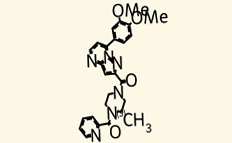 COc1ccc(-c2ccnc3cc(C(=O)N4CCN(C(=O)c5ccccn5)[C@@H](C)C4)nn23)cc1OC